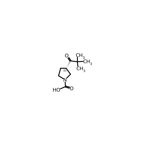 CC(C)(C)C(=O)[C@H]1CCN(C(=O)O)C1